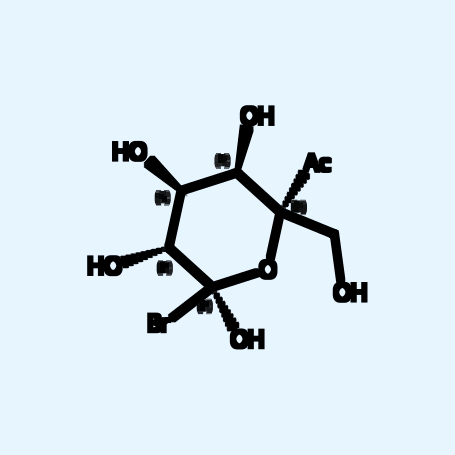 CC(=O)[C@]1(CO)O[C@@](O)(Br)[C@H](O)[C@@H](O)[C@H]1O